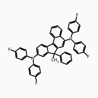 CC1(c2ccccc2)c2cc(N(c3ccc(F)cc3)c3ccc(F)cc3)ccc2-c2c1cc(N(c1ccc(F)cc1)c1ccc(F)cc1)c1ccccc21